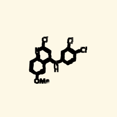 COc1ccc2nc(Cl)cc(Nc3ccc(Cl)c(Cl)c3)c2c1